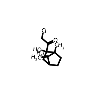 CC1(C)C2CCC1(C)C(O)(C(=O)CCl)C2